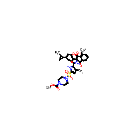 Cc1cc(S(=O)(=O)N2CCN(C(=O)OC(C)(C)C)CC2)[nH]c1C(=O)NC12C(=O)c3cccc([N+](=O)[O-])c3C1(O)Oc1cc(C3CC3C)ccc12